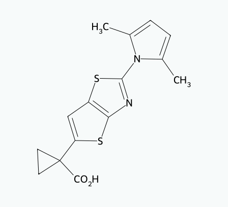 Cc1ccc(C)n1-c1nc2sc(C3(C(=O)O)CC3)cc2s1